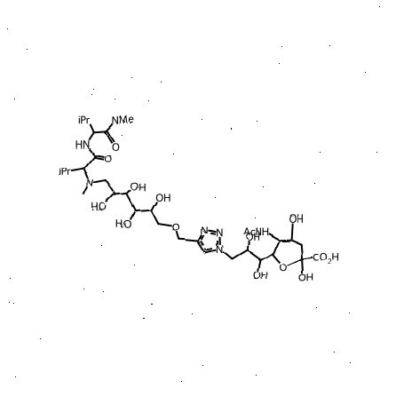 CNC(=O)C(NC(=O)C(C(C)C)N(C)CC(O)C(O)C(O)C(O)COCc1cn(CC(O)C(O)C2OC(O)(C(=O)O)CC(O)C2NC(C)=O)nn1)C(C)C